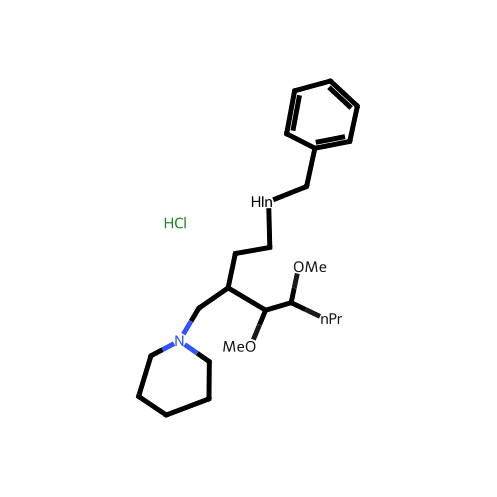 CCCC(OC)C(OC)C(C[CH2][InH][CH2]c1ccccc1)CN1CCCCC1.Cl